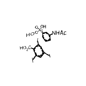 CC(=O)Nc1cccc([As](=O)(O)OO)c1.O=C(O)c1c(I)cc(I)cc1I